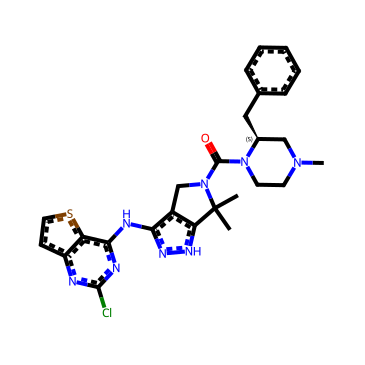 CN1CCN(C(=O)N2Cc3c(Nc4nc(Cl)nc5ccsc45)n[nH]c3C2(C)C)[C@@H](Cc2ccccc2)C1